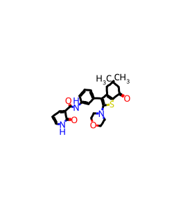 CC1(C)CC(=O)c2sc(N3CCOCC3)c(-c3cccc(NC(=O)c4ccc[nH]c4=O)c3)c2C1